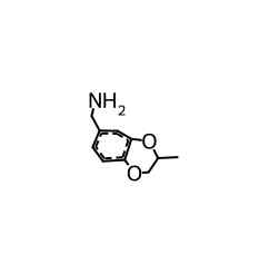 CC1COc2ccc(CN)cc2O1